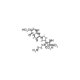 N=C(N[N+](=O)[O-])N(C1CCN(c2nc3[nH]cc(C(=O)O)c(=O)c3cc2F)C1)[C@@H](CCCN)C(=O)O